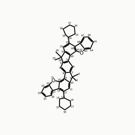 CC1(C)c2cc3c(cc2-c2c1cc(C1CCCCC1)c1c2oc2ccccc21)C(C)(C)c1cc(C2CCCCC2)c2c(oc4ccccc42)c1-3